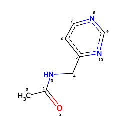 CC(=O)NCc1ccncn1